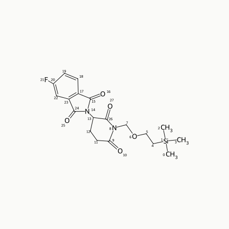 C[Si](C)(C)CCOCN1C(=O)CCC(N2C(=O)c3ccc(F)cc3C2=O)C1=O